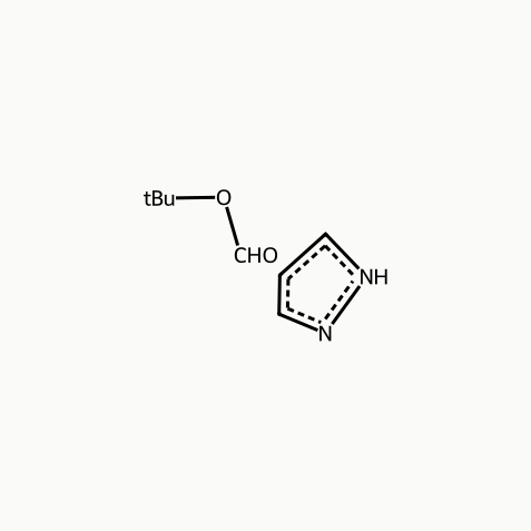 CC(C)(C)OC=O.c1cn[nH]c1